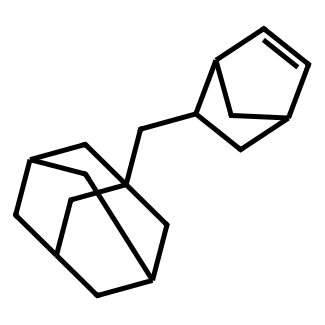 C1=CC2CC1CC2CC12CC3CC(CC(C3)C1)C2